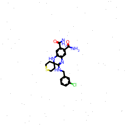 NC(=O)c1cc2c(cc1C(N)=O)NC1(CCSCC1)C(NCc1cccc(Cl)c1)=N2